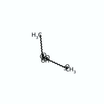 CCCCCCCCCCCCCCCC(=O)O[C@@H](CO)COC(=O)CCCCCCCCCCCCCCSC(C)=O